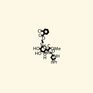 CCC[C@H]1CN[C@H](C(=O)N[C@@H]([C@H]2O[C@H](SCCOC(=O)c3ccccc3Cl)[C@H](O)[C@@H](O)[C@H]2O)[C@@H](C)OC)C1